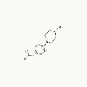 CCN(C)Cc1ccc(N2CCC(C(=O)O)CC2)nc1